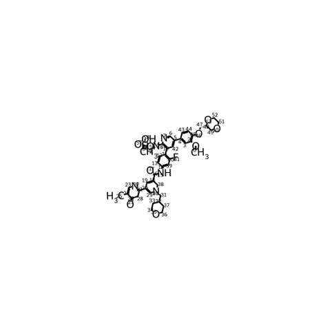 COc1cc(-c2cnc(N)c(-c3ccc(NC(=O)C4=CC(C5=NC=C(C)C(=O)C5)=CN(CC5CCOCC5)C4)cc3F)c2)ccc1OC[C@H]1COCCO1.CS(=O)(=O)O